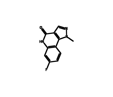 Cn1ncc2c(=O)[nH]c3cc(F)ccc3c21